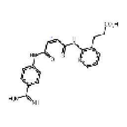 N=C(N)c1ccc(NC(=O)/C=C\C(=O)Nc2ncccc2CCC(=O)O)cc1